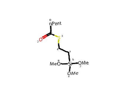 CCCCCC(=O)SCC[Si](OC)(OC)OC